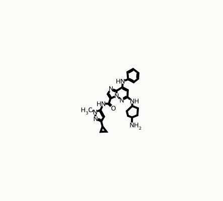 Cn1nc(C2CC2)cc1NC(=O)c1cnc2c(Nc3ccccc3)cc(NC3CCC(N)CC3)nn12